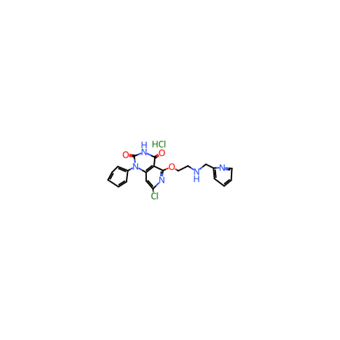 Cl.O=c1[nH]c(=O)n(-c2ccccc2)c2cc(Cl)nc(OCCNCc3ccccn3)c12